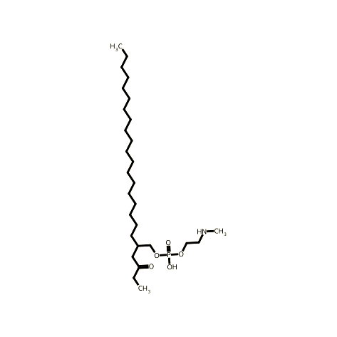 CCCCCCCCCCCCCCCCCCCC(COP(=O)(O)OCCNC)CC(=O)CC